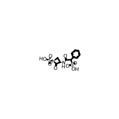 O=C(N[C@H]1CN(S(=O)(=O)O)C1=O)C(c1ccccc1)S(=O)(=O)O